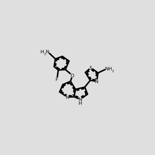 Nc1ccc(Oc2ccnc3[nH]cc(-c4csc(N)n4)c23)c(F)c1